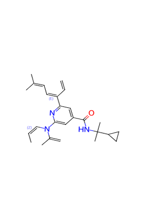 C=C/C(=C\C=C(C)C)c1cc(C(=O)NC(C)(C)C2CC2)cc(N(/C=C\C)C(=C)C)n1